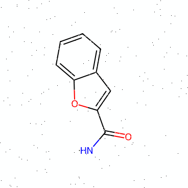 [NH]C(=O)c1cc2ccccc2o1